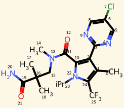 Cc1c(-c2ncc(Cl)cn2)c(C(=O)N(C)CC(C)(C)C(N)=O)n(C(C)C)c1C(F)(F)F